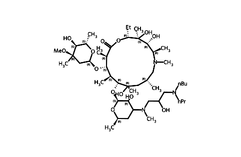 CCCCN(CCC)CC(O)CN(C)C1C[C@@H](C)O[C@@H](O[C@@H]2[C@@H](C)[C@H](O[C@H]3C[C@@](C)(OC)[C@@H](O)[C@H](C)O3)[C@@H](C)C(=O)O[C@H](CC)[C@@](C)(O)[C@H](O)[C@@H](C)N(C)C[C@H](C)C[C@@]2(C)O)[C@@H]1O